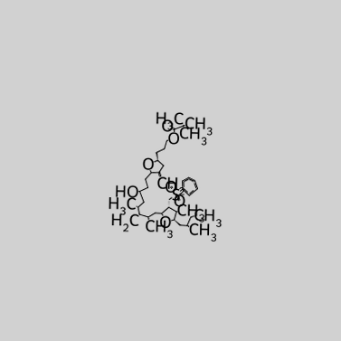 C=C1C[C@H](CCCOC(=O)C(C)(C)C)OC1CC[C@@H](O)C[C@@H](C)C(=C)[C@H](C)CC1O[C@H](C[C@H](C)CC)[C@H](C)[C@H]1CS(=O)(=O)c1ccccc1